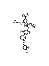 COCCOc1cc(C(=O)OC)cc2c1nc(Cc1cc(F)c(-c3cccc(OCc4ccc(=O)n(C)c4)n3)cc1F)n2C[C@@H]1CCO1